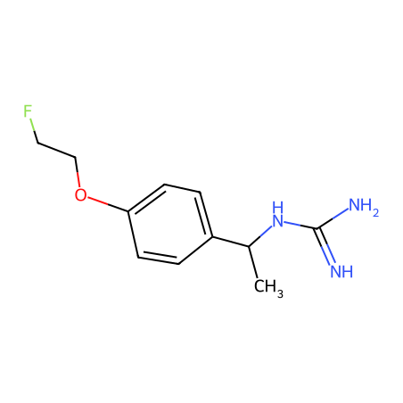 CC(NC(=N)N)c1ccc(OCCF)cc1